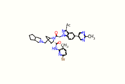 CC(=O)c1nn(CC(=O)N2C3CC3(CN3CC4CCCC4C3)C[C@H]2C(=O)Nc2nc(Br)ccc2C)c2ccc(-c3cnc(C)nc3)cc12